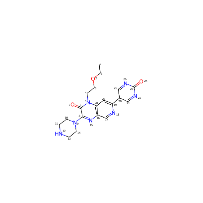 CCOCCn1c(=O)c(N2CCNCC2)nc2cnc(C3C=NC(=O)N=C3)cc21